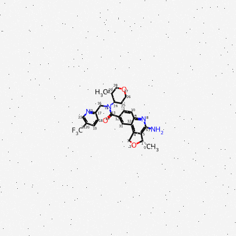 C[C@@H]1OCc2c1c(N)nc1ccc(C(=O)N(Cc3ccc(C(F)(F)F)cn3)[C@@H]3CCOC[C@H]3C)cc21